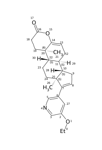 CCOc1cncc(C2=CC[C@H]3[C@@H]4CC=C5OC(=O)CC[C@]5(C)[C@H]4CC[C@]23C)c1